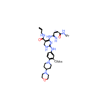 C=CCNC(=O)C1=C(NC(=N)/C=C\C(=O)NC(C)C)N=C(Nc2ccc(N3CCC(N4CCOCC4)CC3)c(OC)c2)NC1